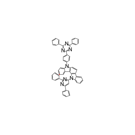 c1ccc(-c2cc(-n3c4ccccc4c4ccc5c(c6ccccc6n5-c5ccc(-c6nc(-c7ccccc7)nc(-c7ccccc7)n6)cc5)c43)nc(-c3ccccc3)n2)cc1